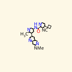 CNc1cc2ncc(-c3cc(NC(=O)c4cc(C5(C#N)CCC5)ccn4)cnc3C)cc2cn1